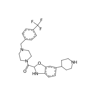 O=C(C1Nc2ccc(C3CCNCC3)cc2O1)N1CCN(Cc2ccc(C(F)(F)F)cc2)CC1